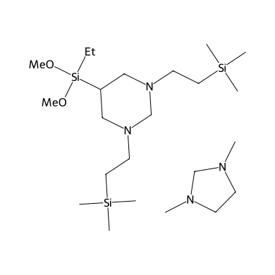 CC[Si](OC)(OC)C1CN(CC[Si](C)(C)C)CN(CC[Si](C)(C)C)C1.CN1CCN(C)C1